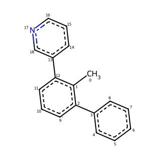 Cc1c(-c2ccccc2)[c]ccc1-c1cccnc1